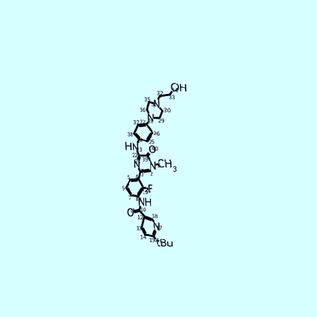 Cn1cc(-c2cccc(NC(=O)c3ccc(C(C)(C)C)nc3)c2F)nc(Nc2ccc(N3CCN(CCO)CC3)cc2)c1=O